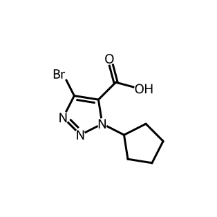 O=C(O)c1c(Br)nnn1C1CCCC1